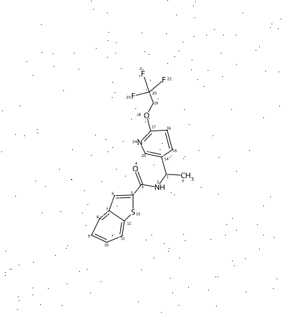 CC(NC(=O)c1cc2ccccc2s1)c1ccc(OCC(F)(F)F)nc1